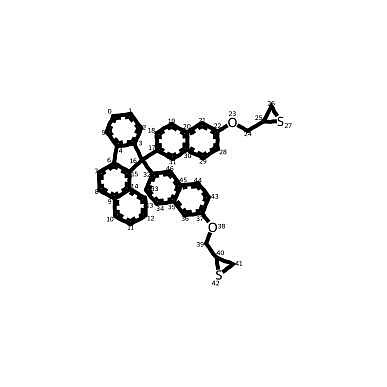 c1ccc2c(c1)-c1ccc3ccccc3c1C2(c1ccc2cc(OCC3CS3)ccc2c1)c1ccc2cc(OCC3CS3)ccc2c1